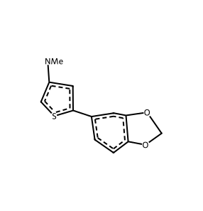 CNc1csc(-c2ccc3c(c2)OCO3)c1